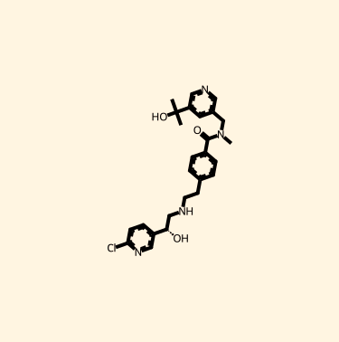 CN(Cc1cncc(C(C)(C)O)c1)C(=O)c1ccc(CCNC[C@H](O)c2ccc(Cl)nc2)cc1